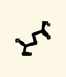 COC(Cl)CCC(N)=O